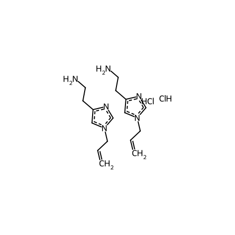 C=CCn1cnc(CCN)c1.C=CCn1cnc(CCN)c1.Cl.Cl